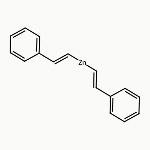 [CH](=Cc1ccccc1)[Zn][CH]=Cc1ccccc1